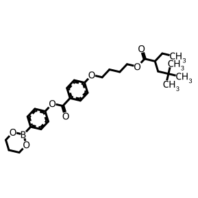 CCC(CC(C)(C)C)C(=O)OCCCCOc1ccc(C(=O)Oc2ccc(B3OCCCO3)cc2)cc1